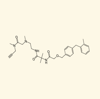 C#CCN(C)C(=O)CN(C)CCNC(=O)C(C)(C)NC(=O)COCc1ccc(Cc2ccccc2C)cc1